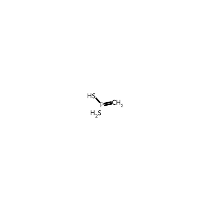 C=PS.S